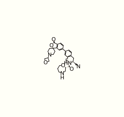 N#C[C@H](Cc1ccc(-c2ccc3c(c2)C2(CCN(C4COC4)CC2)OC3=O)cc1F)NC(=O)[C@@H]1CNCCCO1